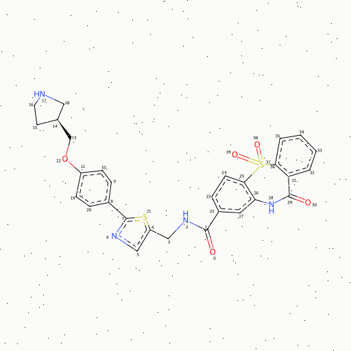 O=C(NCc1cnc(-c2ccc(OC[C@H]3CCNC3)cc2)s1)c1ccc2c(c1)NC(=O)c1ccccc1S2(=O)=O